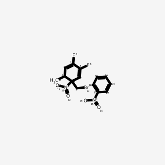 CC1C=C(F)C(F)=CC1(CBr)[N+](=O)[O-].O=[N+]([O-])c1ccccc1